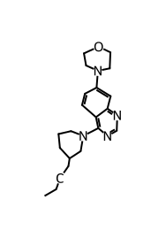 CCCCC1CCCN(c2ncnc3cc(N4CCOCC4)ccc23)C1